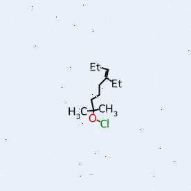 CC/C=C(/CC)CCCC(C)(C)OCl